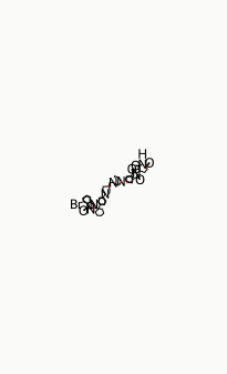 O=C1CCC(N2C(=O)c3ccc(N4CCN(CC5CCN(c6ccc7c(c6)-n6c(nc(=O)c8c(Br)cccc86)C76CCCCC6)CC5)CC4)cc3C2=O)C(=O)N1